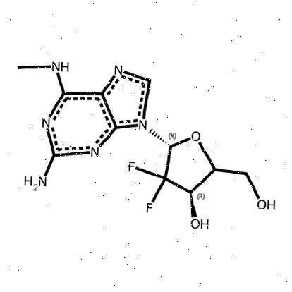 CNc1nc(N)nc2c1ncn2[C@@H]1OC(CO)[C@@H](O)C1(F)F